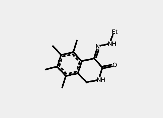 CCN/N=C1\C(=O)NCc2c(C)c(C)c(C)c(C)c21